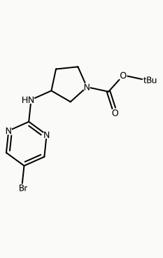 CC(C)(C)OC(=O)N1CCC(Nc2ncc(Br)cn2)C1